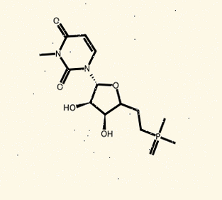 C=P(C)(C)CCC1O[C@@H](n2ccc(=O)n(C)c2=O)[C@H](O)[C@@H]1O